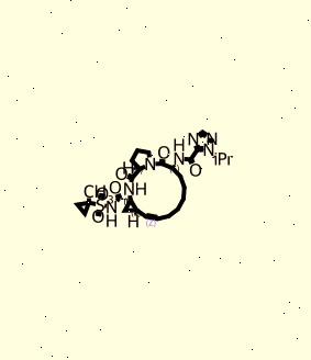 CC(C)n1ncnc1C(=O)N[C@H]1CCCCC/C=C\[C@@H]2C[C@@]2(C(=O)NS(=O)(=O)C2(C)CC2)NC(=O)[C@@H]2CCCN2C1=O